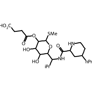 CCCC1CCNC(C(=O)NC(C(C)C)C2OC(SC)C(OC(=O)CCC(=O)O)C(O)C2O)C1